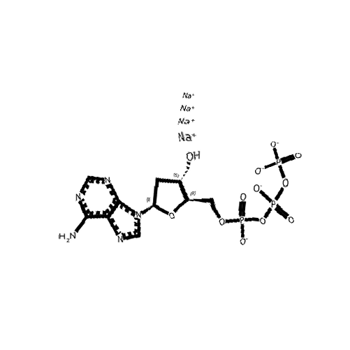 Nc1ncnc2c1ncn2[C@H]1C[C@H](O)[C@@H](COP(=O)([O-])OP(=O)([O-])OP(=O)([O-])[O-])O1.[Na+].[Na+].[Na+].[Na+]